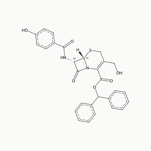 O=C(OC(c1ccccc1)c1ccccc1)C1=C(CO)CS[C@H]2[C@@H](NC(=O)c3ccc(O)cc3)C(=O)N12